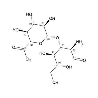 N[C@@H](C=O)[C@@H](O[C@@H]1O[C@H](C(=O)O)[C@@H](O)[C@H](O)[C@H]1O)[C@H](O)[C@H](O)CO